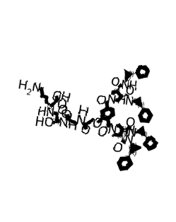 NCCCC[C@H](NC(=O)[C@H](CO)NC(=O)CNC(=O)COc1cc(C(=O)N2C[C@@H](C(=O)N[C@H]3C[C@@H]3c3ccccc3)[C@H](C(=O)N[C@H]3C[C@@H]3c3ccccc3)C2)ccc1C(=O)N1C[C@@H](C(=O)N[C@H]2C[C@@H]2c2ccccc2)[C@H](C(=O)N[C@H]2C[C@@H]2c2ccccc2)C1)C(=O)O